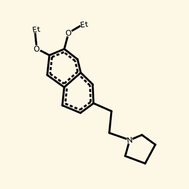 CCOc1cc2ccc(CCN3CCCC3)cc2cc1OCC